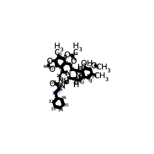 COc1c(C)cc2c(c1O)[C@@H]1C3Cc4c(OC(C)=O)c(C)c5c(c4[C@H](CNC(=O)/C=C/c4ccccc4)N3[C@@H](C#N)[C@H](C2)N1C)OCO5